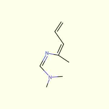 C=C/C=C(C)\N=C/N(C)C